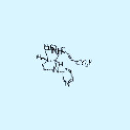 O=C(O)C=CC(=O)O.c1cncc(N2CC[C@@H]3CNC[C@@H]32)c1